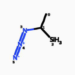 CC([SiH3])N=[N+]=[N-]